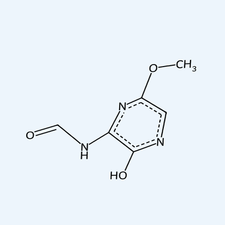 COc1cnc(O)c(NC=O)n1